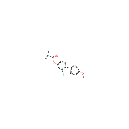 C=C(C)C(=O)Oc1ccc(-c2ccc(OC)cc2)c(F)c1